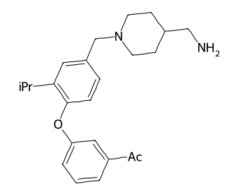 CC(=O)c1cccc(Oc2ccc(CN3CCC(CN)CC3)cc2C(C)C)c1